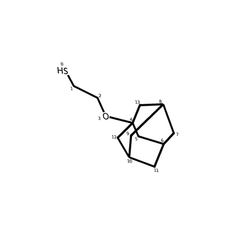 SCCOC12CC3CC(CC(C3)C1)C2